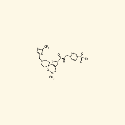 CCS(=O)(=O)c1ccc(CNC(=O)c2cc3c(s2)C2(CCN(Cc4cnc(C(F)(F)F)s4)CC2)O[C@@H](C)C3)nc1